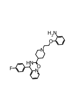 Nc1ccccc1OCCN1CCC(C(=O)NC(c2ccc(F)cc2)c2ccccn2)CC1